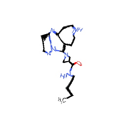 CCCCNC(=O)C1CN(c2c3c(nc4ccnn24)CCNCC3)C1